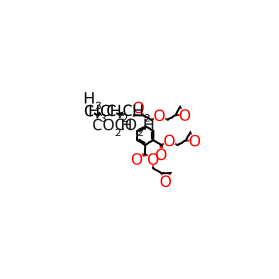 C(OCC1CO1)C1CO1.C=C(C)C(=O)O.C=C(C)C(=O)O.O=C(OCC1CO1)c1ccccc1C(=O)OCC1CO1